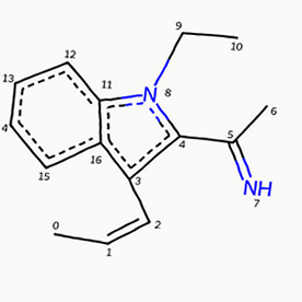 C/C=C\c1c(C(C)=N)n(CC)c2ccccc12